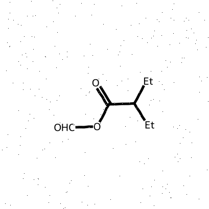 CCC(CC)C(=O)OC=O